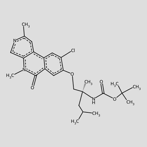 Cc1cc2c3cc(Cl)c(OC[C@](C)(CC(C)C)NC(=O)OC(C)(C)C)cc3c(=O)n(C)c2cn1